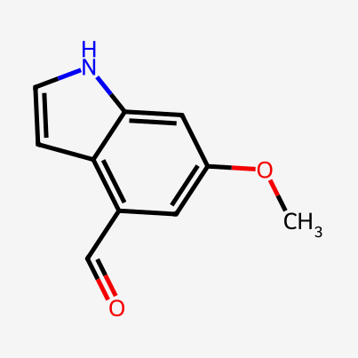 COc1cc(C=O)c2cc[nH]c2c1